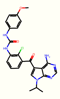 COc1ccc(NC(=O)Nc2cccc(C(=O)c3cn(C(C)C)c4ncnc(N)c34)c2Cl)cc1